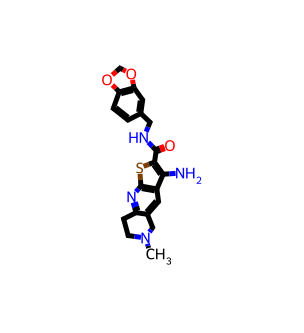 CN1CCc2nc3sc(C(=O)NCc4ccc5c(c4)OCO5)c(N)c3cc2C1